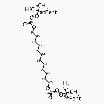 CCCCCC(C)(C)OOC(=O)OCCCCCCCCCCCCOC(=O)OOC(C)(C)CCCCC